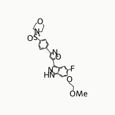 COCCOc1cc2[nH]nc(-c3cc(-c4ccc([S+]([O-])N5CCOCC5)cc4)no3)c2cc1F